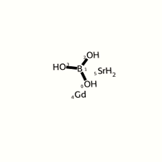 OB(O)O.[Gd].[SrH2]